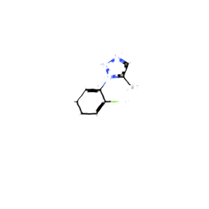 CC(C)c1cnnn1C1=CCCC=C1F